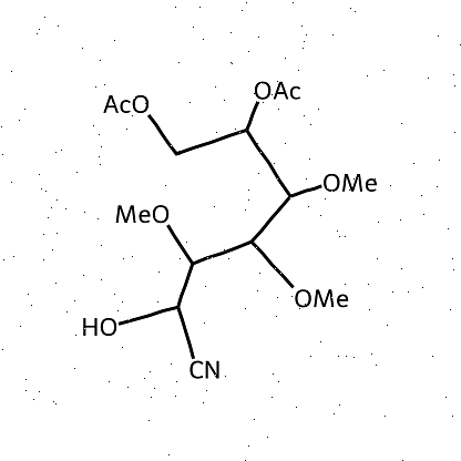 COC(C(O)C#N)C(OC)C(OC)C(COC(C)=O)OC(C)=O